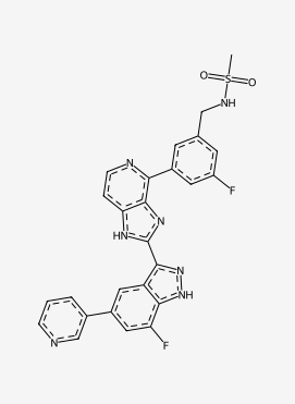 CS(=O)(=O)NCc1cc(F)cc(-c2nccc3[nH]c(-c4n[nH]c5c(F)cc(-c6cccnc6)cc45)nc23)c1